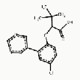 CC(C)(C)C(Oc1ccc(Cl)cc1-c1cncnc1)C(=O)O